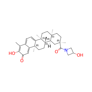 CC1=C(O)C(=O)C=C2C1=CC=C1[C@@]2(C)CC[C@@]2(C)[C@@H]3C[C@](C)(C(=O)N4CC(O)C4)CC[C@]3(C)CC[C@]12C